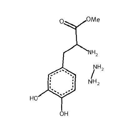 COC(=O)C(N)Cc1ccc(O)c(O)c1.NN